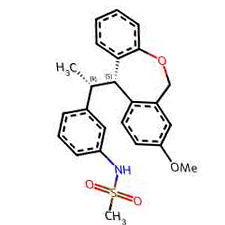 COc1ccc2c(c1)COc1ccccc1[C@H]2[C@@H](C)c1cccc(NS(C)(=O)=O)c1